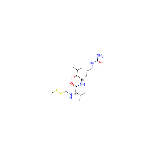 CSSCN[C@H](C(=O)N[C@@H](CCCNC(N)=O)C(=O)C(C)C)C(C)C